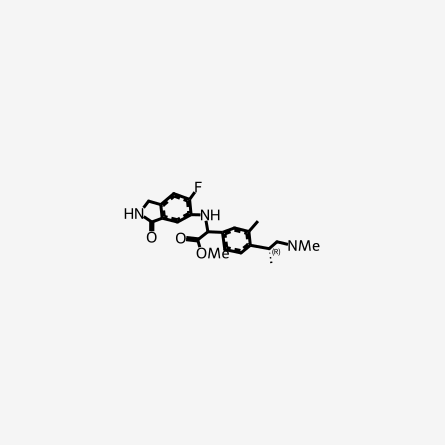 CNC[C@H](C)c1ccc(C(Nc2cc3c(cc2F)CNC3=O)C(=O)OC)cc1C